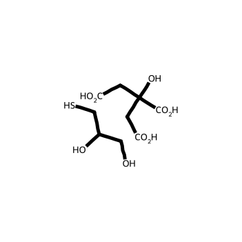 O=C(O)CC(O)(CC(=O)O)C(=O)O.OCC(O)CS